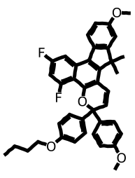 CCCCOc1ccc(C2(c3ccc(OC)cc3)C=Cc3c4c(c5cc(F)cc(F)c5c3O2)-c2ccc(OC)cc2C4(C)C)cc1